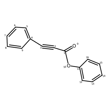 O=C(C#Cc1ccccc1)Oc1ccccc1